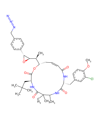 COc1ccc(C[C@H]2NC(=O)C=CC[C@@H]([C@H](C)[C@H]3O[C@@H]3c3ccc(CN=[N+]=[N-])cc3)OC(=O)[C@H](CC(C)(C)C)NC(=O)C(C)(C)C(C)NC2=O)cc1Cl